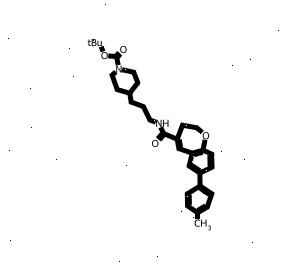 Cc1ccc(-c2ccc3c(c2)C=C(C(=O)NCCCC2CCN(C(=O)OC(C)(C)C)CC2)CCO3)cc1